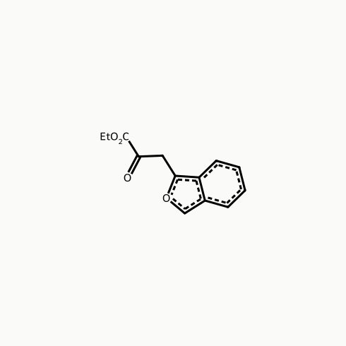 CCOC(=O)C(=O)Cc1occ2ccccc12